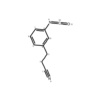 N#CCCc1cccc(N=C=O)c1